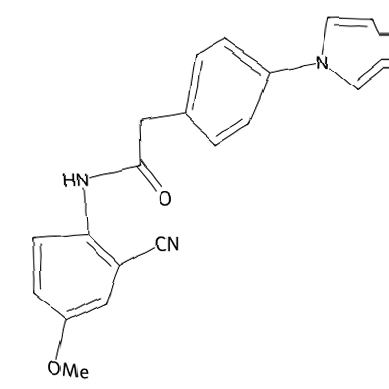 COc1ccc(NC(=O)Cc2ccc(-n3cccc3)cc2)c(C#N)c1